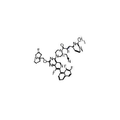 Cc1nccc(/C=C(\F)C(=O)N2CCN(c3nc(OC[C@@]45CCCN4C[C@H](F)C5)nc4c(F)c(-c5cccc6ccc(F)c(F)c56)ncc34)C[C@@H]2CC#N)n1